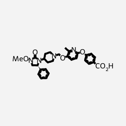 CON1C[C@@H](c2ccccc2)N(C2CCN(COc3ccc(Oc4ccc(C(=O)O)cc4)nc3C)CC2)C1=O